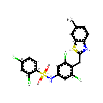 Cc1ccc2nc(Cc3c(Cl)cc(NS(=O)(=O)c4ccc(Cl)cc4Cl)cc3Cl)sc2c1